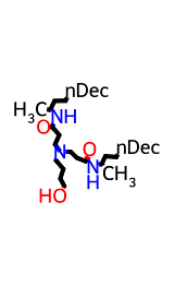 CCCCCCCCCCCCC(C)NC(=O)CCN(CCCCO)CCC(=O)NC(C)CCCCCCCCCCCC